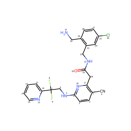 N#Cc1ccc(NCC(F)(F)c2ccccn2)nc1CC(=O)NCc1cc(Cl)ccc1CN